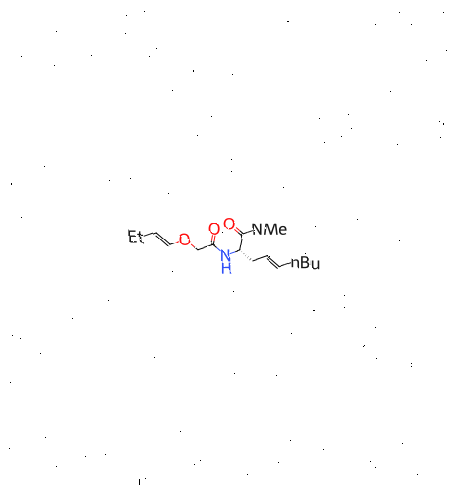 CC/C=C/OCC(=O)N[C@@H](C/C=C/CCCC)C(=O)NC